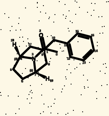 CC(=O)N1[C@@H]2CC[C@H]1CN(Cc1ccccc1)C2